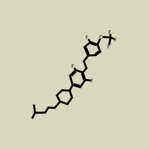 CC(C)CCCC1CCC(c2cc(F)c(CCc3ccc(OC(F)(F)F)c(F)c3)c(F)c2)CC1